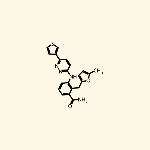 Cc1ccc(Cc2c(Nc3ccc(-c4ccsc4)nn3)cccc2C(N)=O)o1